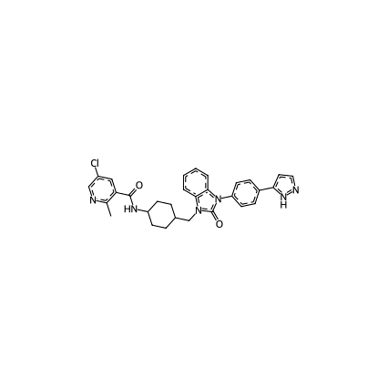 Cc1ncc(Cl)cc1C(=O)NC1CCC(Cn2c(=O)n(-c3ccc(-c4ccn[nH]4)cc3)c3ccccc32)CC1